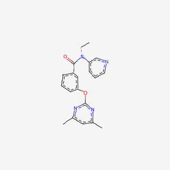 CCN(C(=O)c1cccc(Oc2nc(C)cc(C)n2)c1)c1cccnc1